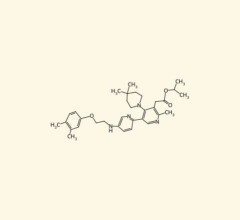 Cc1ccc(OCCNc2ccc(-c3cnc(C)c(CC(=O)OC(C)C)c3N3CCC(C)(C)CC3)nc2)cc1C